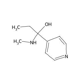 CCC(O)(NC)c1ccncc1